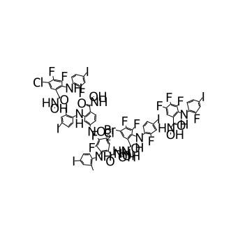 Cc1cc(I)ccc1Nc1c(C(=O)NO)cc(Cl)c(F)c1F.Cc1cc(I)ccc1Nc1cc([N+](=O)[O-])ccc1C(=O)NO.O=C(NO)c1cc(Br)c(F)c(F)c1Nc1ccc(I)cc1F.O=C(NO)c1cc(Cl)c(F)c(F)c1Nc1ccc(I)cc1F.O=C(NO)c1cc(F)c(F)c(F)c1Nc1ccc(I)cc1F